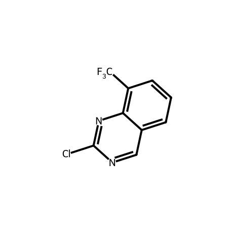 FC(F)(F)c1cccc2cnc(Cl)nc12